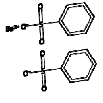 O=S(=O)([O-])c1ccccc1.O=S(=O)([O-])c1ccccc1.[Ba+2]